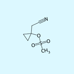 CS(=O)(=O)OC1(CC#N)CC1